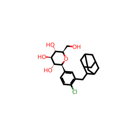 OC[C@H]1O[C@@H](c2ccc(Cl)c(CC3C4CC5CC(C4)CC3C5)c2)[C@H](O)[C@@H](O)[C@@H]1O